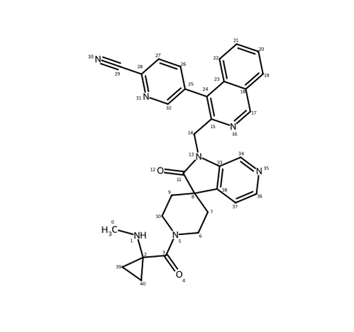 CNC1(C(=O)N2CCC3(CC2)C(=O)N(Cc2ncc4ccccc4c2-c2ccc(C#N)nc2)c2cnccc23)CC1